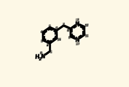 NCc1cccc(Cc2cnccn2)c1